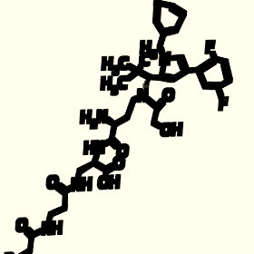 CC(C)(C)[C@H](c1cc(-c2cc(F)ccc2F)cn1Cc1ccccc1)N(CC[C@H](N)C(=O)N[C@H](CNC(=O)CCNC(=O)CBr)C(=O)O)C(=O)CO